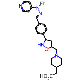 CCN(N=Cc1ccc(C2CC(CN3CCC(CC(=O)O)CC3)ON2)cc1)c1ccncc1